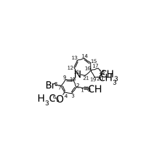 C#Cc1cc(OC)c(Br)cc1N1C=CC=CC(CC)(CC)C1